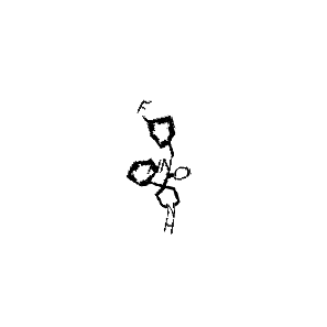 O=C(NCc1ccc(F)cc1)C1(c2ccccc2)CCNCC1